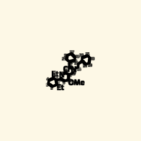 CCc1cccc(CC)c1-c1cc(OC)c(CN(CCc2ccccc2)Cc2ccccc2)c(C)n1